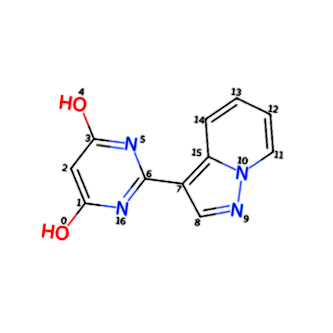 Oc1cc(O)nc(-c2cnn3ccccc23)n1